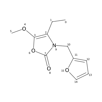 CCc1c(OC)oc(=O)n1Cc1ccco1